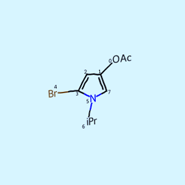 CC(=O)Oc1cc(Br)n(C(C)C)c1